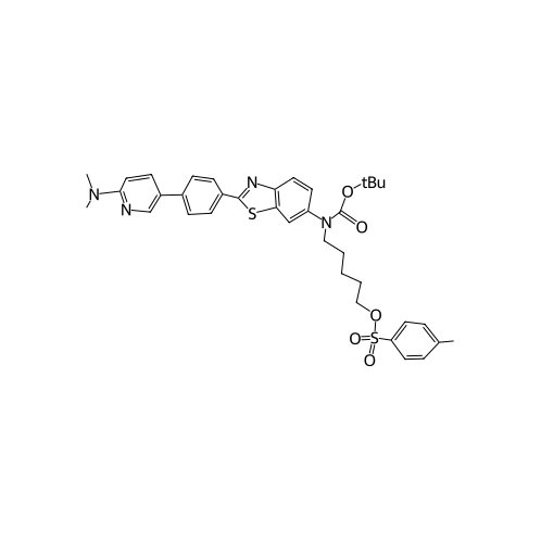 Cc1ccc(S(=O)(=O)OCCCCCN(C(=O)OC(C)(C)C)c2ccc3nc(-c4ccc(-c5ccc(N(C)C)nc5)cc4)sc3c2)cc1